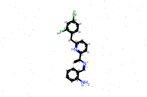 C=C(/N=C\c1ccccc1N)c1cccc(Cc2ccc(Br)cc2F)n1